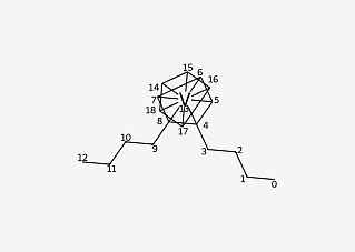 CCCC[C]12[CH]3[CH]4[CH]5[C]1(CCCC)[V]43521678[CH]2[CH]1[CH]6[CH]7[CH]28